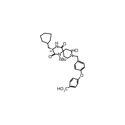 CCCCN1C(=O)[C@@H](CC2CCCCC2)NC(=O)C12CCN(Cc1ccc(Oc3ccc(C(=O)O)cc3)cc1)CC2.Cl